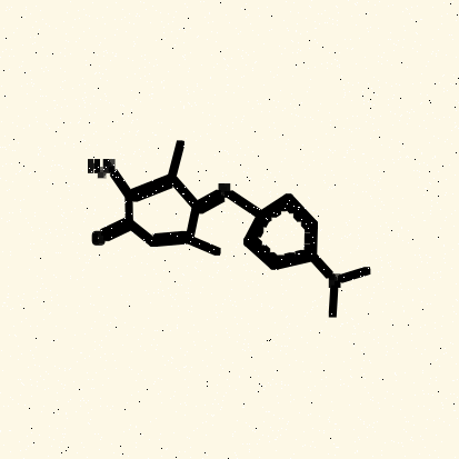 CC1=CC(=O)C(N)=C(C)C1=Nc1ccc(N(C)C)cc1